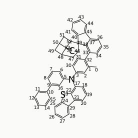 Cc1cc(N(c2cccc(-c3ccccc3)c2)c2cccc3c2sc2ccccc23)ccc1-c1cccc2c1C1(c3ccccc3-2)C2CC3CC4CC1C34C2